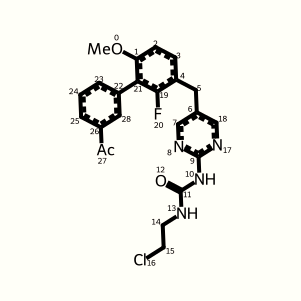 COc1ccc(Cc2cnc(NC(=O)NCCCl)nc2)c(F)c1-c1cccc(C(C)=O)c1